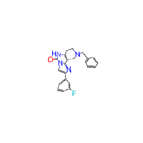 O=c1[nH]c2c(c3nc(-c4cccc(F)c4)cn13)CN(Cc1ccccc1)CC2